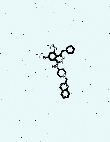 COc1cc(OC)c2c(Cc3ccccc3)nnc(NC3CCN(Cc4ccc5ccccc5c4)CC3)c2c1